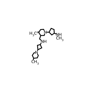 CNC1CCC(N2CC[C@@H](C)C(CNC3CC(N4CCC(C)CC4)C3)C2)C1